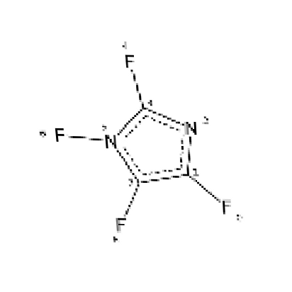 Fc1nc(F)n(F)c1F